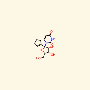 O=c1ccn([C@]2(C3=CCCC3)O[C@H](CO)[C@@H](O)[C@H]2O)c(=O)[nH]1